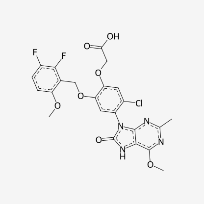 COc1ccc(F)c(F)c1COc1cc(-n2c(=O)[nH]c3c(OC)nc(C)nc32)c(Cl)cc1OCC(=O)O